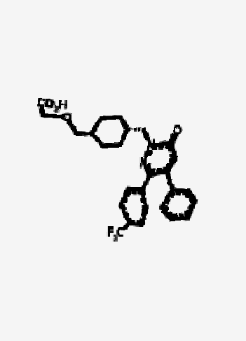 O=C(O)COC[C@H]1CC[C@H](Cn2nc(-c3ccc(C(F)(F)F)cc3)c(-c3ccccc3)cc2=O)CC1